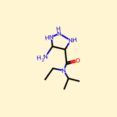 CCN(C(=O)C1NNNC1N)C(C)C